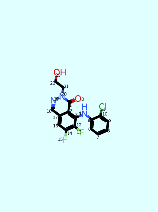 O=c1c2c(Nc3ccccc3Cl)c(F)c(F)cc2cnn1CCO